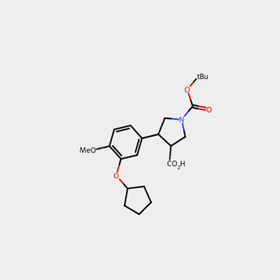 COc1ccc(C2CN(C(=O)OC(C)(C)C)CC2C(=O)O)cc1OC1CCCC1